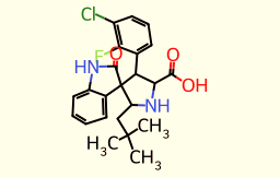 CC(C)(C)CC1NC(C(=O)O)C(c2cccc(Cl)c2F)C12C(=O)Nc1ccccc12